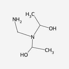 CC(O)N(CN)C(C)O